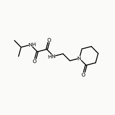 CC(C)NC(=O)C(=O)NCCN1CCCCC1=O